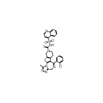 Cc1nnc2n1-c1sc3c(c1C(c1ccccc1Cl)=NC2)CCN(C(=S)NS(=O)(=O)c1ccnc2ccccc12)C3